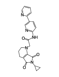 O=C(CN1CCCC2=C1C(=O)N(C1CC1)C2=O)Nc1ccc(-c2ccccn2)cn1